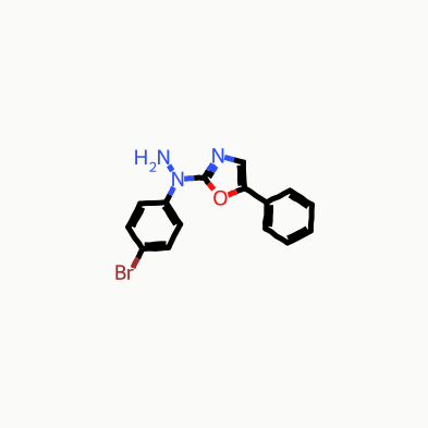 NN(c1ccc(Br)cc1)c1ncc(-c2ccccc2)o1